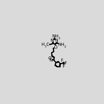 CCc1nc(N)nc(N)c1OCCCc1cc(-c2cccc(C(F)(F)F)c2)no1